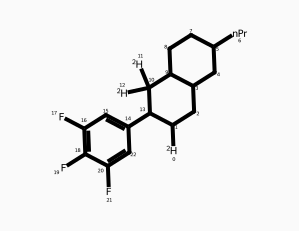 [2H]C1CC2CC(CCC)CCC2C([2H])([2H])C1c1cc(F)c(F)c(F)c1